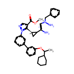 COC(=O)c1cnn(-c2cccc(-c3cccc(OC(C)C4CCCCC4)c3)c2)c1[C@@H]1CC1/C(N)=C/N(N)Cc1ccccc1